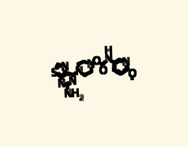 COc1ccc(NC(=O)ON2CCN(c3nc(N)nc4scnc34)CC2)cn1